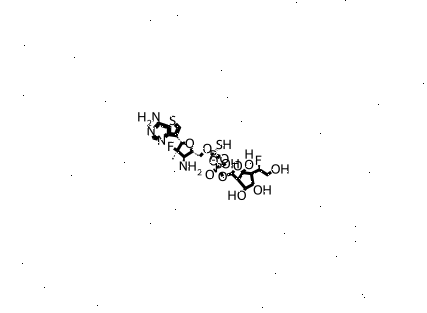 C[C@@]1(F)[C@H](N)[C@@H](COP(=O)(S)OP(=O)(O)OC2OC3(O)C2C(O)C(O)C3[C@@H](F)CO)O[C@H]1c1csc2c(N)ncnc12